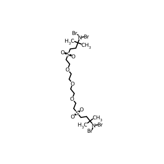 CC(C)(CCS(=O)(=O)CCOCCOCCOCCS(=O)(=O)CCC(C)(C)N(Br)Br)N(Br)Br